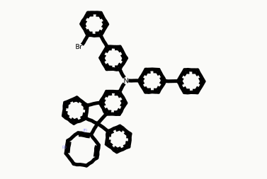 Brc1ccccc1-c1ccc(N(c2ccc(-c3ccccc3)cc2)c2ccc3c(c2)-c2ccccc2C3(/C2=C/C=C\CCC=C2)c2ccccc2)cc1